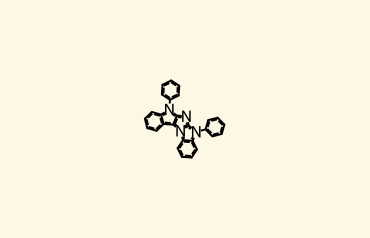 c1ccc(-n2c3ccccc3c3c2nc2n(-c4ccccc4)c4ccccc4n32)cc1